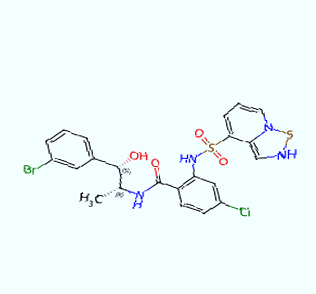 C[C@@H](NC(=O)c1ccc(Cl)cc1NS(=O)(=O)C1=CC=CN2SNC=C12)[C@@H](O)c1cccc(Br)c1